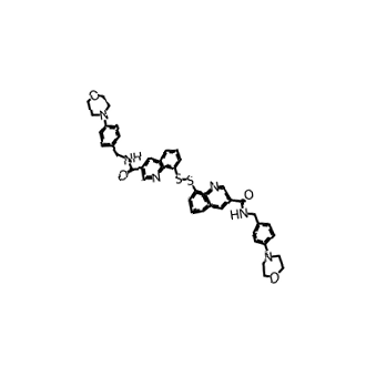 O=C(NCc1ccc(N2CCOCC2)cc1)c1cnc2c(SSc3cccc4cc(C(=O)NCc5ccc(N6CCOCC6)cc5)cnc34)cccc2c1